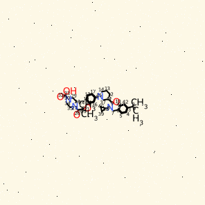 CC(C)c1ccc(CN(C(=O)C2CCCN(c3cccc(OC(C)(C)C(=O)N4CCN(C(=O)O)CC4)c3)C2)C2CC2)cc1